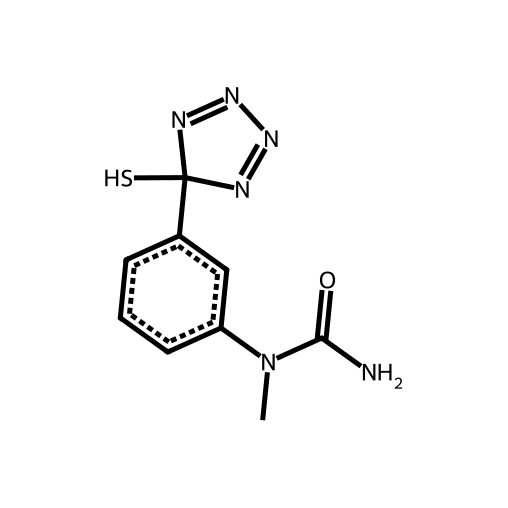 CN(C(N)=O)c1cccc(C2(S)N=NN=N2)c1